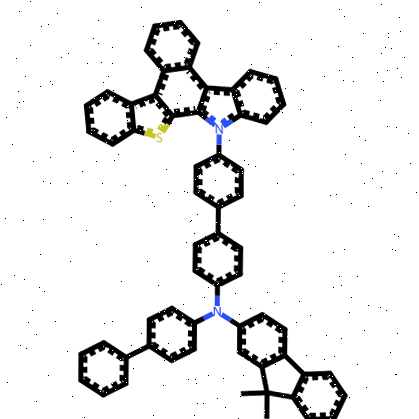 CC1(C)c2ccccc2-c2ccc(N(c3ccc(-c4ccccc4)cc3)c3ccc(-c4ccc(-n5c6ccccc6c6c7ccccc7c7c8ccccc8sc7c65)cc4)cc3)cc21